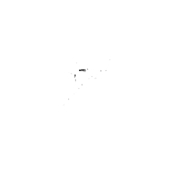 C=C(C)C(=O)O.CCCCCOCCCCC